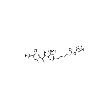 CO[C@H]1CN(CCCCCC(=O)OC2CN3CCC2CC3)CC[C@@H]1NC(=O)c1cc(Cl)c(N)cc1C